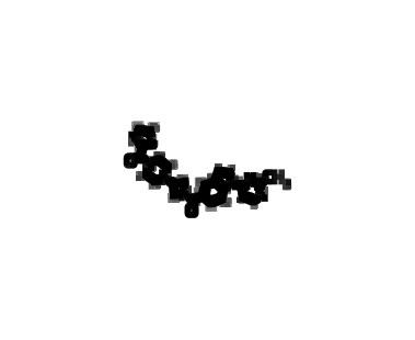 Cc1nccc(-n2ccc3cc(C(=O)N4CC(N5CCN(C(=O)c6nccs6)CC5)C4)ccc32)n1